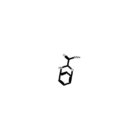 CNC(=O)C1Nc2cccc(c2)O1